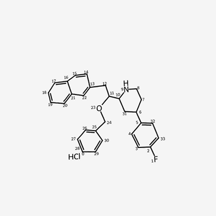 Cl.Fc1ccc(C2CCNC(C(Cc3ccc4ccccc4c3)OCc3ccccc3)C2)cc1